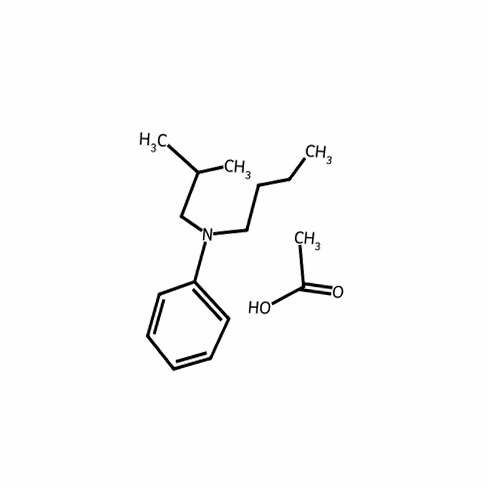 CC(=O)O.CCCCN(CC(C)C)c1ccccc1